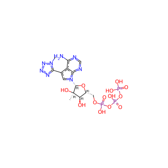 Cn1nnnc1-c1cn([C@@H]2O[C@H](COP(=O)(O)OP(=O)(O)OP(=O)(O)O)[C@@H](O)[C@@]2(C)O)c2ncnc(N)c12